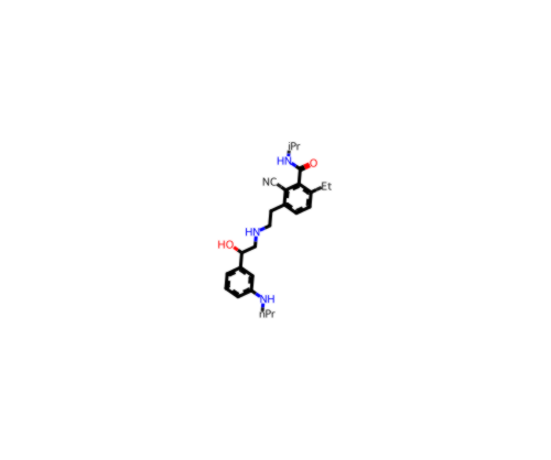 CCCNc1cccc(C(O)CNCCc2ccc(CC)c(C(=O)NC(C)C)c2C#N)c1